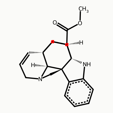 COC(=O)[C@@H]1C[C@@]23C=CCN4CC[C@@]5(c6ccccc6N[C@]15CC2)[C@@H]43